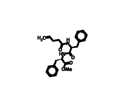 C=CCCC(=O)N[C@@H](Cc1ccccc1)C(=O)N[C@@H](Cc1ccccc1)C(=O)OC